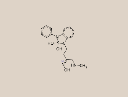 CNC/C(CCN1c2ccccc2N(c2ccccc2)S1(O)O)=N\O